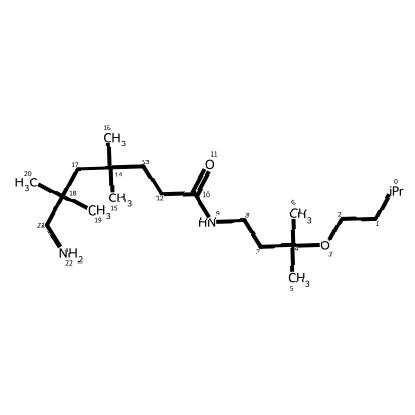 CC(C)CCOC(C)(C)CCNC(=O)CCC(C)(C)CC(C)(C)CN